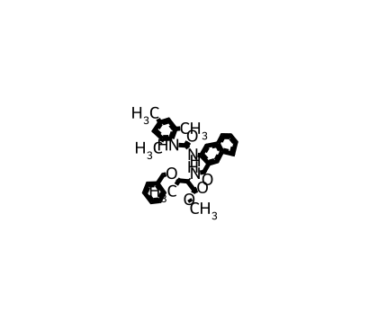 COC(=O)[C@@H](NC(=O)c1cc2ccccc2cc1NC(=O)Nc1c(C)cc(C)cc1C)C(C)OCc1ccccc1